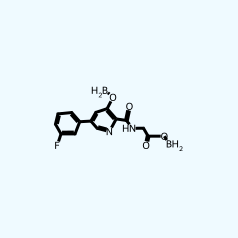 BOC(=O)CNC(=O)c1ncc(-c2cccc(F)c2)cc1OB